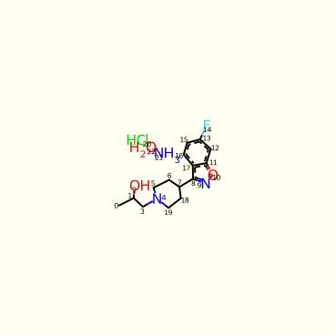 CC(O)CN1CCC(c2noc3cc(F)ccc23)CC1.Cl.N.O